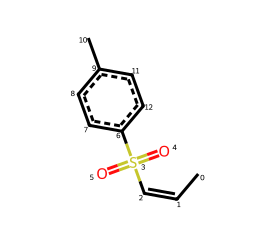 C/C=C\S(=O)(=O)c1ccc(C)cc1